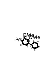 COc1c(-c2ccccc2)ccc(C(C)C)c1OC